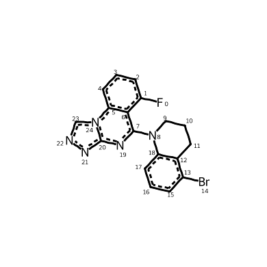 Fc1cccc2c1c(N1CCCc3c(Br)cccc31)nc1nncn12